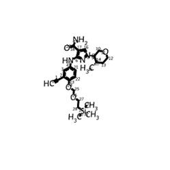 C#Cc1cc(Nc2nn([C@H]3COCC[C@@H]3C)cc2C(N)=O)ccc1OCOCC[Si](C)(C)C